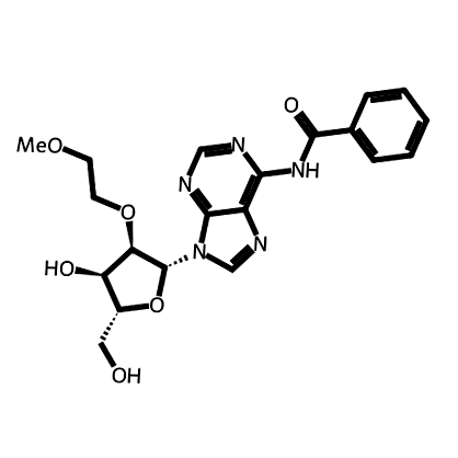 COCCO[C@@H]1[C@H](O)[C@@H](CO)O[C@H]1n1cnc2c(NC(=O)c3ccccc3)ncnc21